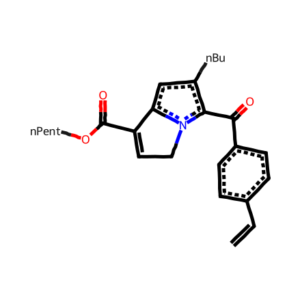 C=Cc1ccc(C(=O)c2c(CCCC)cc3n2CC=C3C(=O)OCCCCC)cc1